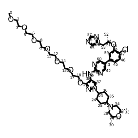 COCCOCCOCCOCCOCCOCCOc1nn(C2CCC(N3C[C@@H](C)O[C@@H](C)C3)CC2)cc1Nc1ncc(-c2ccc(Cl)c(O[C@@H](C)Cn3cncn3)c2)cn1